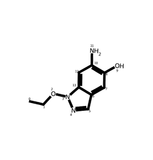 CCOn1ncc2cc(O)c(N)cc21